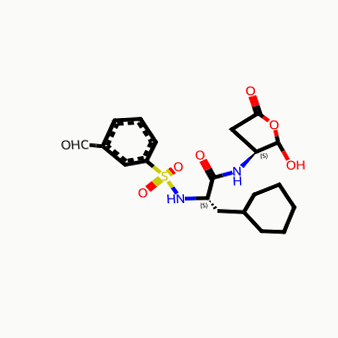 O=Cc1cccc(S(=O)(=O)N[C@@H](CC2CCCCC2)C(=O)N[C@H]2CC(=O)OC2O)c1